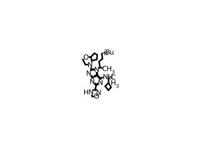 CC[C@H](C)CCCC(C)n1c(N2CCOC3CCCC32)nc2nc(C3=NOCN3)nc(N[C@H](C)C3CCC3)c21